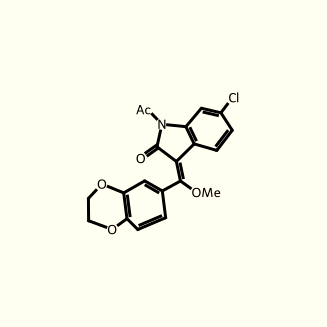 COC(=C1C(=O)N(C(C)=O)c2cc(Cl)ccc21)c1ccc2c(c1)OCCO2